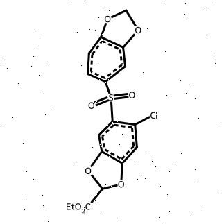 CCOC(=O)C1Oc2cc(Cl)c(S(=O)(=O)c3ccc4c(c3)OCO4)cc2O1